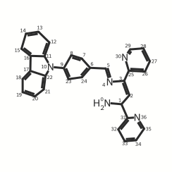 NC(/C=C(\N=C\c1ccc(-n2c3ccccc3c3ccccc32)cc1)c1ccccn1)c1ccccn1